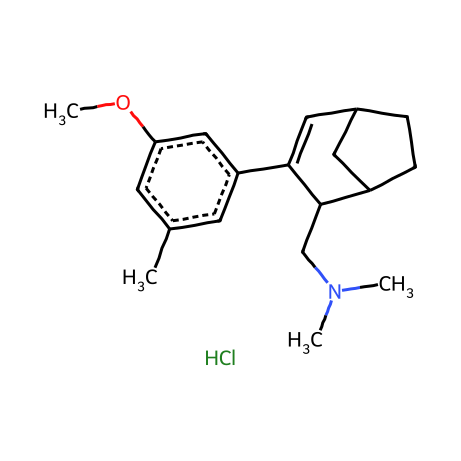 COc1cc(C)cc(C2=CC3CCC(C3)C2CN(C)C)c1.Cl